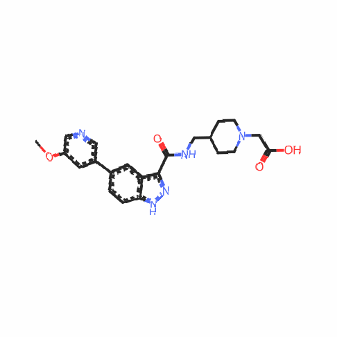 COc1cncc(-c2ccc3[nH]nc(C(=O)NCC4CCN(CC(=O)O)CC4)c3c2)c1